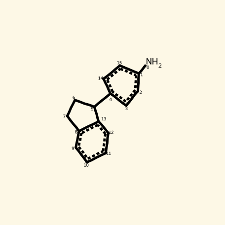 Nc1ccc(C2CCc3ccccc32)cc1